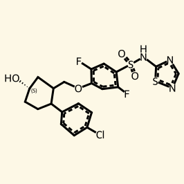 O=S(=O)(Nc1ncns1)c1cc(F)c(OCC2C[C@@H](O)CCC2c2ccc(Cl)cc2)cc1F